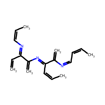 C=C/C(=N\C=C/C)C(=C)/N=C(\C=C/C)C(=C)/N=C\C=C/C